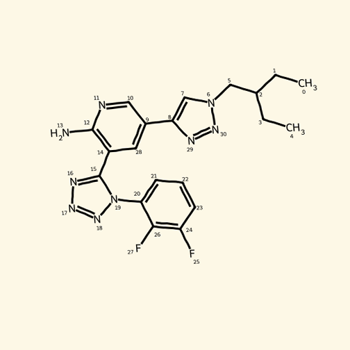 CCC(CC)Cn1cc(-c2cnc(N)c(-c3nnnn3-c3cccc(F)c3F)c2)nn1